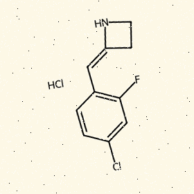 Cl.Fc1cc(Cl)ccc1C=C1CCN1